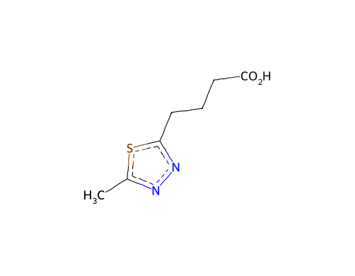 Cc1nnc(CCCC(=O)O)s1